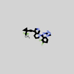 CC(F)(F)C1(C#Cc2cncc3c2CCCN3c2nc3nncn3c3ccc(F)c(F)c23)CC1